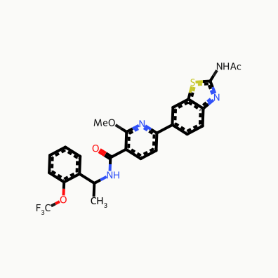 COc1nc(-c2ccc3nc(NC(C)=O)sc3c2)ccc1C(=O)NC(C)c1ccccc1OC(F)(F)F